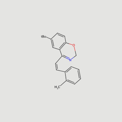 Cc1ccccc1/C=C\C1=NCOc2ccc(C(C)(C)C)cc21